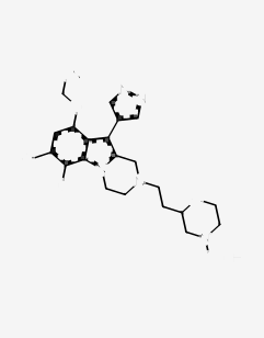 N#CCOc1cc(Cl)c(Cl)c2c1c(-c1cn[nH]c1)c1n2CCN(CCC2CN(C(=O)O)CCO2)C1